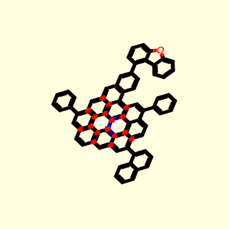 c1ccc(-c2ccc(-c3ccccc3N(c3ccccc3-c3ccccc3N(c3ccc(-c4cccc5ccccc45)cc3)c3ccc4c(ccc5cc(-c6cccc7oc8ccccc8c67)ccc54)c3)c3ccc(-c4ccccc4)c4ccccc34)cc2)cc1